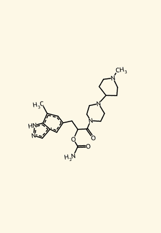 Cc1cc(CC(OC(N)=O)C(=O)N2CCN(C3CCN(C)CC3)CC2)cc2cn[nH]c12